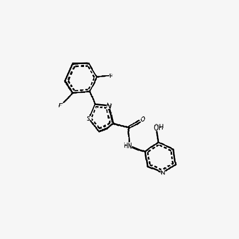 O=C(Nc1cnccc1O)c1csc(-c2c(F)cccc2F)n1